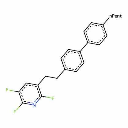 CCCCCc1ccc(-c2ccc(CCc3cc(F)c(F)nc3F)cc2)cc1